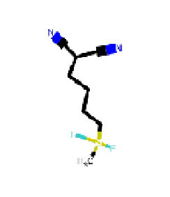 CS(F)(F)CCCCC(C#N)C#N